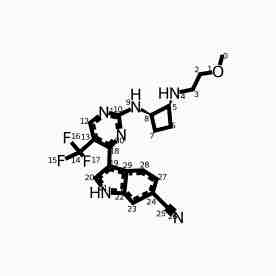 COCCN[C@@H]1CC[C@H]1Nc1ncc(C(F)(F)F)c(-c2c[nH]c3cc(C#N)ccc23)n1